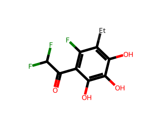 CCc1c(O)c(O)c(O)c(C(=O)C(F)F)c1F